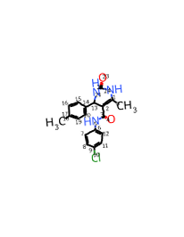 CC1=C(C(=O)Nc2ccc(Cl)cc2)C(c2ccc(C)cc2)NC(=O)N1